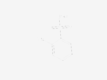 CCCC(C)S(=O)(=O)c1ccccc1[N+](=O)[O-]